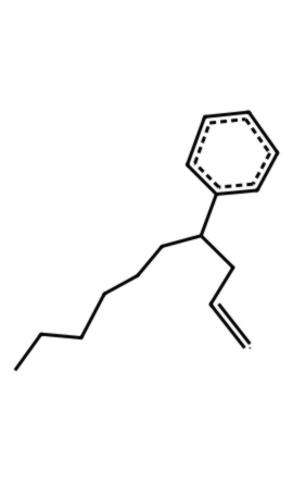 [CH]=CCC(CCCCCC)c1ccccc1